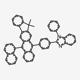 CC1(C)c2ccccc2-c2cc3c(-c4cccc5ccccc45)c4ccccc4c(-c4ccc(-c5nc6ccccc6n5-c5ccccc5)cc4)c3cc21